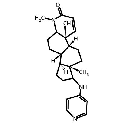 CN1C(=O)C=C[C@@]2(C)C1CC[C@@H]1[C@H]2CC[C@]2(C)C(Nc3ccncc3)CC[C@@H]12